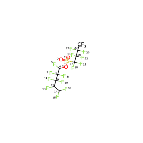 O=S(=O)(OC(F)C(F)(F)C(F)(F)C(F)C(F)F)C(F)(F)C(F)(F)C(F)(F)C(F)(F)F